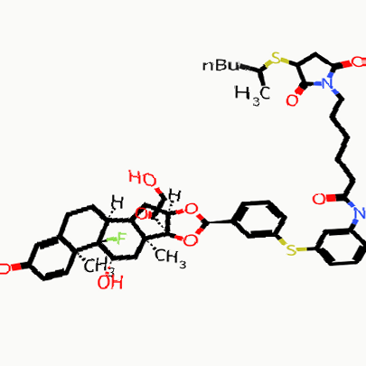 CCCCC(C)SC1CC(=O)N(CCCCCC(=O)Nc2cccc(Sc3cccc([C@@H]4O[C@@H]5CC6[C@@H]7CCC8=CC(=O)C=C[C@]8(C)[C@@]7(F)[C@@H](O)C[C@]6(C)[C@]5(C(=O)CO)O4)c3)c2)C1=O